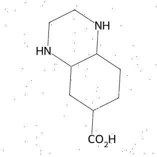 O=C(O)C1CCC2NCCNC2C1